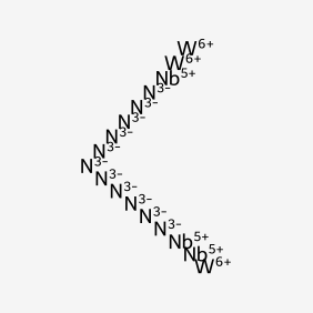 [N-3].[N-3].[N-3].[N-3].[N-3].[N-3].[N-3].[N-3].[N-3].[N-3].[N-3].[Nb+5].[Nb+5].[Nb+5].[W+6].[W+6].[W+6]